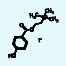 C[N+](C)(C)CCOC(=O)c1ccc(O)cc1.[I-]